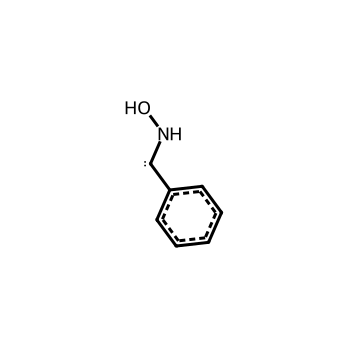 ON[C]c1ccccc1